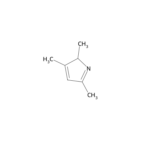 CC1=CC(C)=NC1C